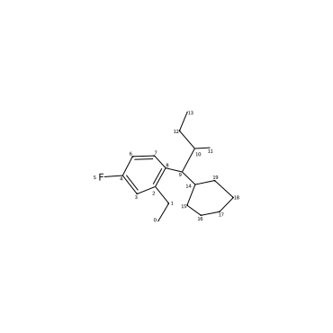 CCc1cc(F)ccc1C(C(C)CC)C1CCCCC1